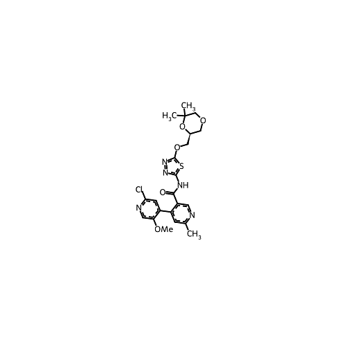 COc1cnc(Cl)cc1-c1cc(C)ncc1C(=O)Nc1nnc(OC[C@@H]2COCC(C)(C)O2)s1